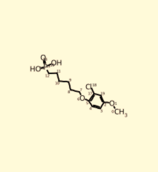 COc1ccc(OCCCCCCP(=O)(O)O)c(Cl)c1